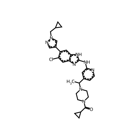 CC(c1ccnc(Nc2nc3cc(Cl)c(-c4cnn(CC5CC5)c4)cc3[nH]2)c1)N1CCN(C(=O)C2CC2)CC1